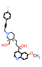 COc1ccc2nccc([C@H](O)CC[C@@H]3CCN(CC#Cc4ccc(F)cc4)C[C@@H]3CO)c2c1